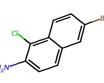 Nc1ccc2cc(Br)ccc2c1Cl